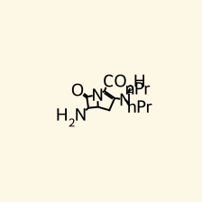 CCCN(CCC)C1=C(C(=O)O)N2C(=O)C(N)C2C1